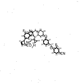 N#CCC1(Cn2c(CN3CCC(Oc4cccc(COc5ccc(C#N)cc5F)c4)CC3)nc3c(F)cc(C4C#CC4C(=O)O)cc32)CC1